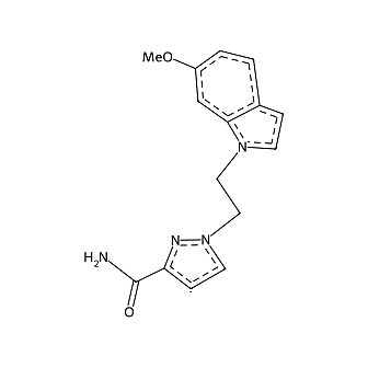 COc1ccc2ccn(CCn3c[c]c(C(N)=O)n3)c2c1